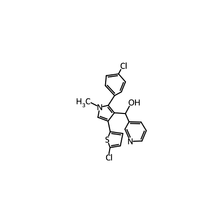 Cn1cc(-c2ccc(Cl)s2)c(C(O)c2cccnc2)c1-c1ccc(Cl)cc1